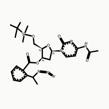 CC(=O)Nc1ccn([C@H]2C[C@@H](OC(=O)c3ccccc3C(C)N=[N+]=[N-])[C@@H](CO[Si](C)(C)C(C)(C)C)O2)c(=O)n1